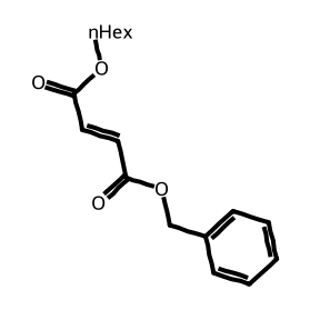 CCCCCCOC(=O)C=CC(=O)OCc1ccccc1